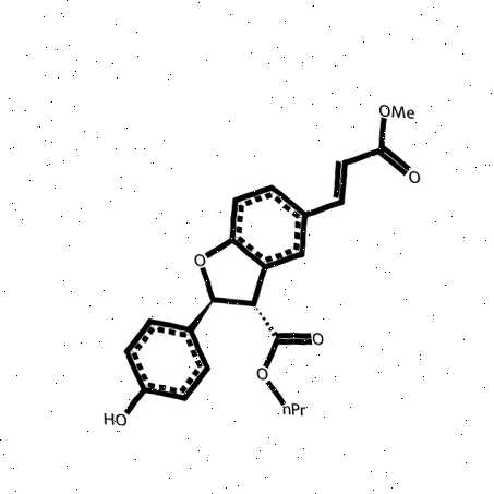 CCCOC(=O)[C@H]1c2cc(/C=C/C(=O)OC)ccc2O[C@@H]1c1ccc(O)cc1